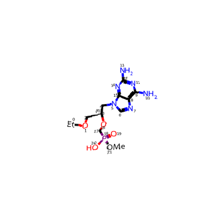 CCOC[C@@H](Cn1cnc2c(N)nc(N)nc21)OCP(=O)(O)OC